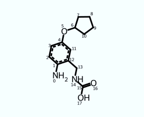 Nc1ccc(OC2CCCC2)cc1CNC(=O)O